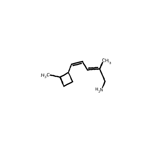 C/C(=C\C=C/C1CCC1C)CN